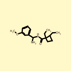 CCC1CCC1(CC)C(=O)NC(N)c1cccc(OC)c1